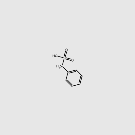 O=S(=O)(O)[SiH2]c1ccccc1